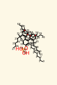 CCCCCCCCCc1c(OP(O)O)ccc(-c2c(C(C)(C)CCCCC)cc(C)cc2C(C)(C)CCCCC)c1-c1c(C(C)(C)CCCCC)cc(C)cc1C(C)(C)CCCCC